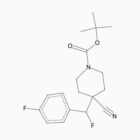 CC(C)(C)OC(=O)N1CCC(C#N)(C(F)c2ccc(F)cc2)CC1